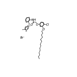 CCCCCCCCCCCCCCOc1cc(OCC(=O)Nc2ccccc2C[n+]2csc(C)c2)ccc1Cl.[Br-]